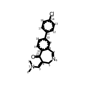 CN(C)C=C1CN=Cc2cc(-c3ccc(Cl)cc3)ccc2C1=O